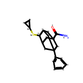 NC(=O)C12CC3CC(c4ccccc4)(CC(C1)C3SC1CC1)C2